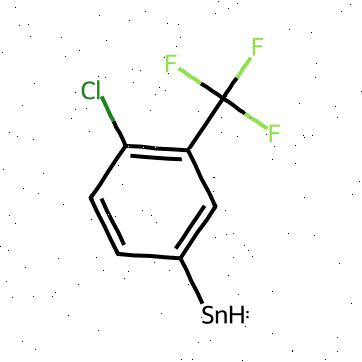 FC(F)(F)c1c[c]([SnH])ccc1Cl